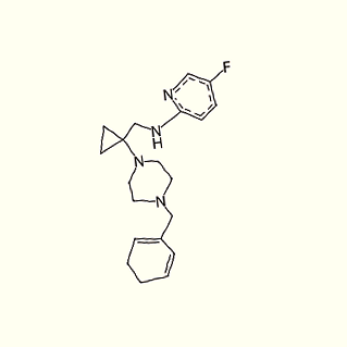 Fc1ccc(NCC2(N3CCN(CC4=CCCC=C4)CC3)CC2)nc1